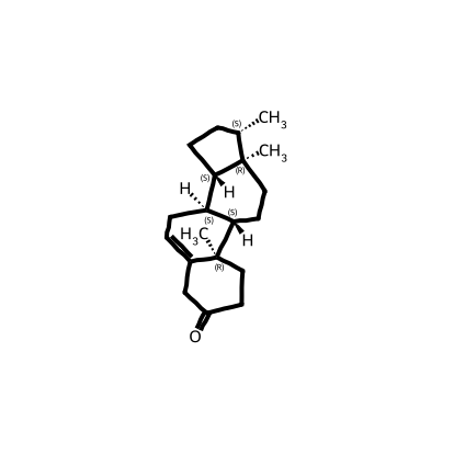 C[C@H]1CC[C@H]2[C@@H]3CC=C4CC(=O)CC[C@]4(C)[C@H]3CC[C@]12C